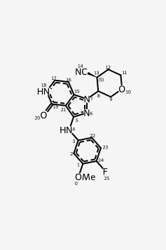 COc1cc(Nc2nn(C3COCC[C@@H]3C#N)c3cc[nH]c(=O)c23)ccc1F